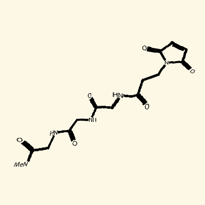 CNC(=O)CNC(=O)CNC(=O)CNC(=O)CCN1C(=O)C=CC1=O